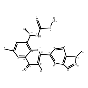 Cc1cc([C@@H](C)NC(=O)OC(C)(C)C)c2oc(-c3ccc4c(cnn4C)n3)c(C)c(=O)c2c1